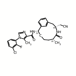 Cc1c(C(=O)N[C@H]2CCC[C@@H](C)C(=O)N[C@@H](CC#N)Cc3cccc2c3)ncn1-c1cccc(Cl)c1F